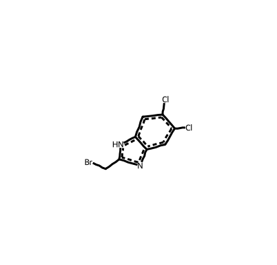 Clc1cc2nc(CBr)[nH]c2cc1Cl